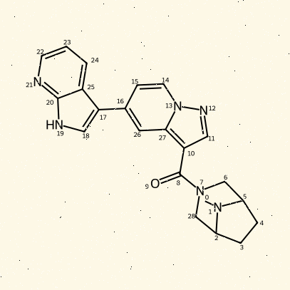 CN1C2CCC1CN(C(=O)c1cnn3ccc(-c4c[nH]c5ncccc45)cc13)C2